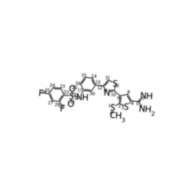 CSc1sc(C(=N)N)cc1-c1nc(-c2cccc(NS(=O)(=O)c3ccc(F)cc3F)c2)cs1